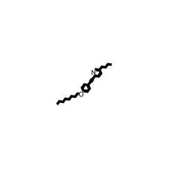 CCCCCCCCOc1ccc(C#Cc2ccc(CCCC)cn2)cc1